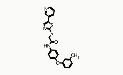 Cc1cccc(Oc2ccc(NC(=O)CSc3ncc(-c4cccnc4)s3)cc2)c1